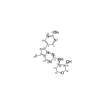 CC(C)(C)c1ncc(-c2cc(F)c3cnc(N[C@@H]4CCOC[C@H]4O)nn23)cn1